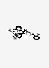 Cc1cccc(-c2nc(CN(I)Cc3ccccc3F)[nH]c2-c2ccc3ncnn3c2)n1